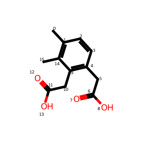 Cc1ccc(CC(=O)O)c(CC(=O)O)c1C